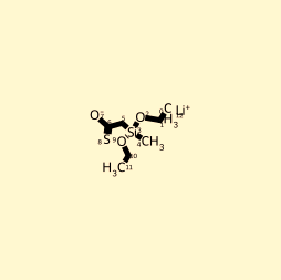 CCO[Si](C)(CC([O-])=S)OCC.[Li+]